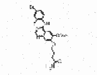 COc1cc2c(Nc3ccc(Br)cc3F)ncnc2cc1OCCCC(N)=O